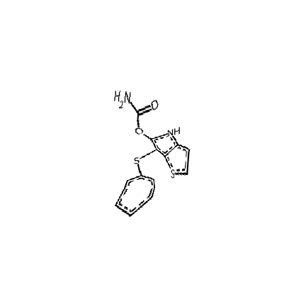 NC(=O)Oc1[nH]c2ccsc2c1Sc1ccccc1